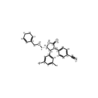 Cc1cc(F)cc([C@H]2[C@H](COCC3=CCCC=C3)OC(=O)N2c2ccc(C#N)cc2)c1